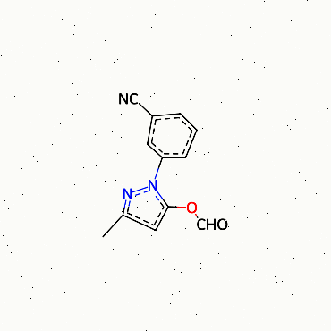 Cc1cc(OC=O)n(-c2cccc(C#N)c2)n1